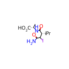 CC(C)[C@@H](C(=O)N[C@@H](C)C(=O)O)C(I)C(N)=O